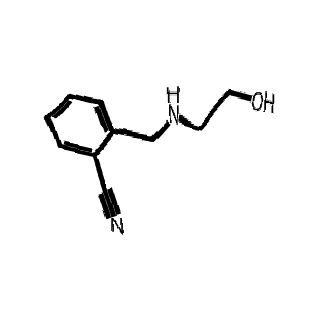 N#Cc1ccccc1CNCCO